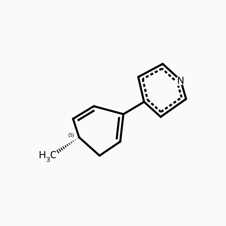 C[C@@H]1C=CC(c2ccncc2)=CC1